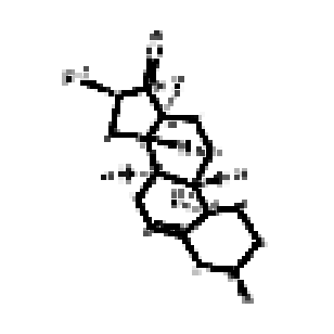 CC[C@@H]1C[C@H]2[C@@H]3CC=C4C[C@H](C)CC[C@]4(C)[C@H]3CC[C@]2(C)C1=O